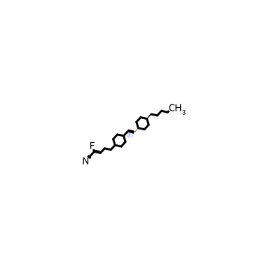 CCCCC[C@H]1CC[C@H](/C=C/C2CCC(CCC=C(F)C#N)CC2)CC1